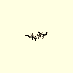 C=CC(=O)OC(C)[Si](C)(C)O[Si](C)(C)O[SiH2]CCC